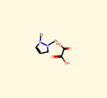 CCN1C=CCN1CC.O=C(O)C(=O)O